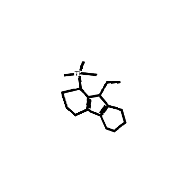 CCC1C2=C(CCCC2)C2=C1[CH]([Ti]([CH3])([CH3])[CH3])CCC2